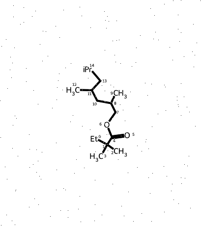 CCC(C)(C)C(=O)OCC(C)CC(C)CC(C)C